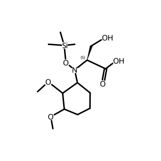 COC1CCCC(N(O[Si](C)(C)C)[C@@H](CO)C(=O)O)C1OC